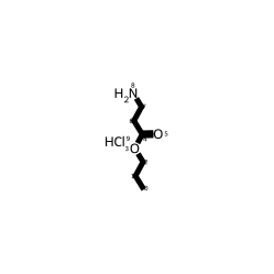 CCCOC(=O)CCN.Cl